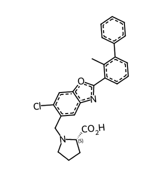 Cc1c(-c2ccccc2)cccc1-c1nc2cc(CN3CCC[C@H]3C(=O)O)c(Cl)cc2o1